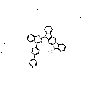 Cn1c2ccccc2c2cc3c4ccccc4n(-c4nc(-c5ccc(-c6ccccc6)cc5)c5ccccc5n4)c3cc21